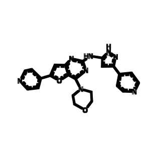 c1cc(-c2cc(Nc3nc(N4CCOCC4)c4oc(-c5ccncc5)cc4n3)[nH]n2)ccn1